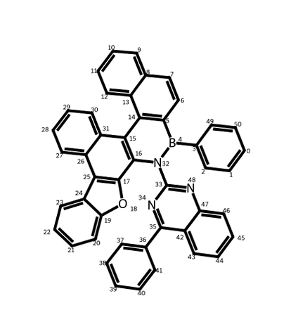 c1ccc(B2c3ccc4ccccc4c3-c3c(c4oc5ccccc5c4c4ccccc34)N2c2nc(-c3ccccc3)c3ccccc3n2)cc1